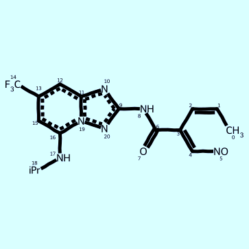 C/C=C\C(=C/N=O)C(=O)Nc1nc2cc(C(F)(F)F)cc(NC(C)C)n2n1